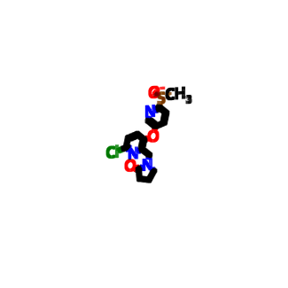 C[S+]([O-])c1ccc(Oc2ccc(Cl)nc2CN2CCCC2=O)cn1